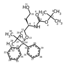 CC(C)(C)OC(=O)N[C@H](CCO)CO[Si](c1ccccc1)(c1ccccc1)C(C)(C)C